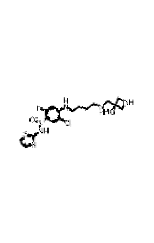 [O-][S+](Nc1nccs1)c1cc(Cl)c(NCCCCNCC2(O)CNC2)cc1F